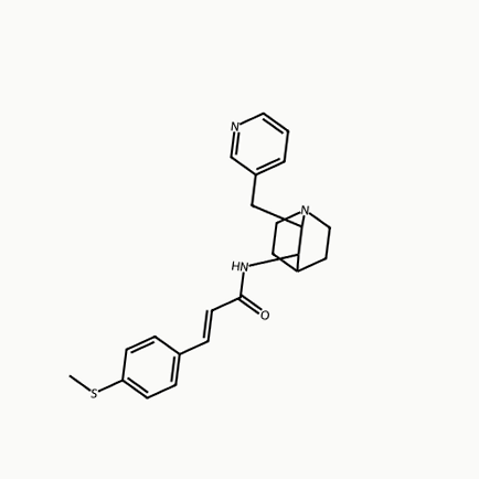 CSc1ccc(C=CC(=O)NC2C3CCN(CC3)C2Cc2cccnc2)cc1